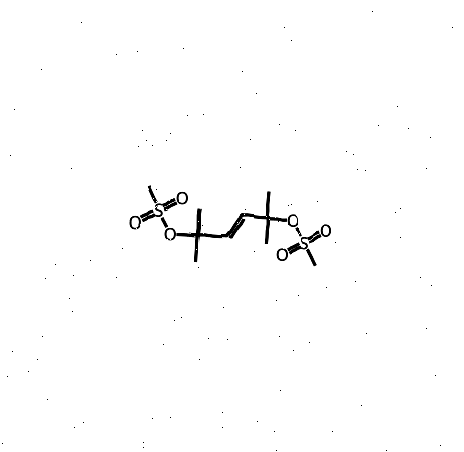 CC(C)(C=CC(C)(C)OS(C)(=O)=O)OS(C)(=O)=O